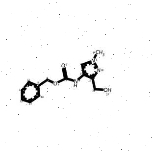 Cn1cc(NC(=O)OCc2ccccc2)c(CO)n1